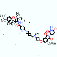 COc1cc(OC2CC(N(CC3CC4(C3)CN(c3cnc(C(=O)NC5C(C)(C)C(Oc6cc(C)c(C#N)c(C)c6)C5(C)C)cn3)C4)C(C)C)C2)cc2c1C(=O)N([C@@H]1CCC(=O)NC1=O)C2=O